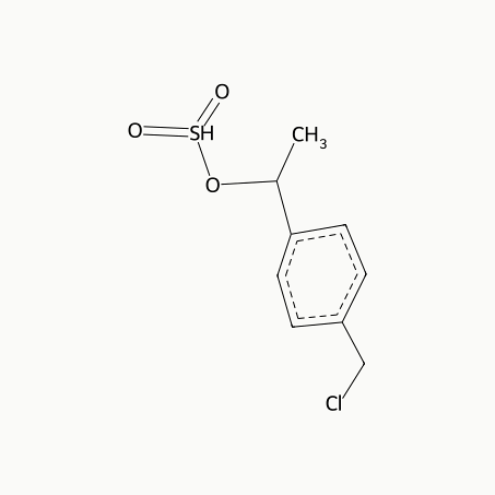 CC(O[SH](=O)=O)c1ccc(CCl)cc1